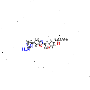 COC(=O)Cc1ccc2c(c1)CC(c1nc3ccc(-c4ccnc(N)n4)cc3o1)CO2